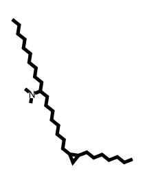 CCCCCCCCCCC(CCCCCCCCC1CC1CCCCCCC)N(C)C